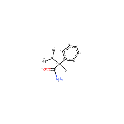 [2H]C([2H])C(C)(C(N)=O)c1ccccc1